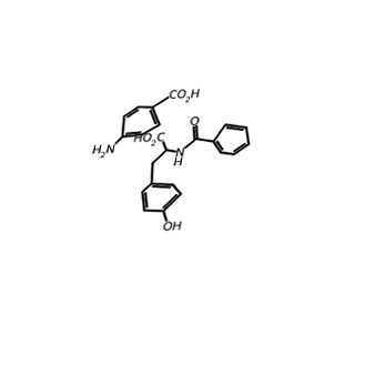 Nc1ccc(C(=O)O)cc1.O=C(NC(Cc1ccc(O)cc1)C(=O)O)c1ccccc1